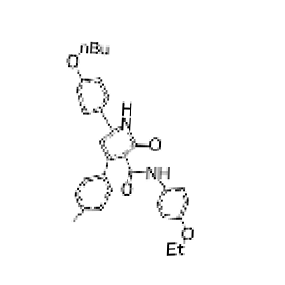 CCCCOc1ccc(-c2cc(-c3ccc(C)cc3)c(C(=O)Nc3ccc(OCC)cc3)c(=O)[nH]2)cc1